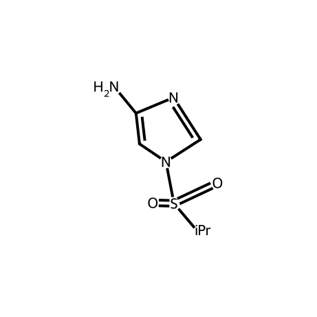 CC(C)S(=O)(=O)n1cnc(N)c1